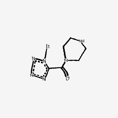 CCn1nnnc1C(=O)N1CCNCC1